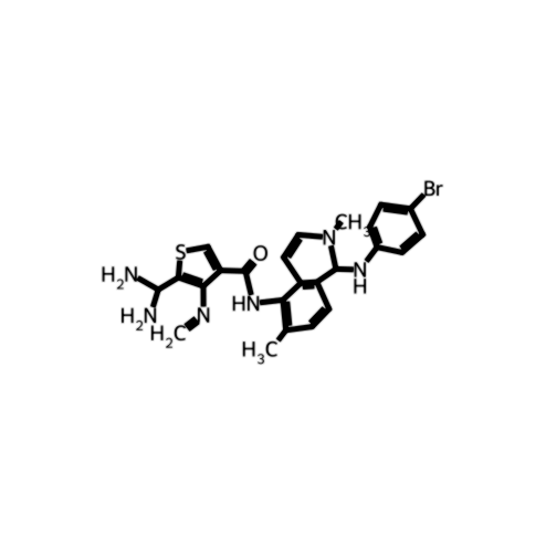 C=Nc1c(C(=O)Nc2c(C)ccc3c2C=CN(C)C3Nc2ccc(Br)cc2)csc1C(N)N